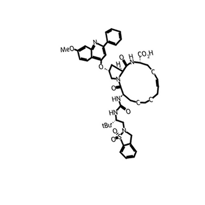 COc1ccc2c(O[C@@H]3C[C@H]4C(=O)N[C@H](C(=O)O)CC/C=C\CCCCC[C@H](NC(=O)N[C@H](CN5Cc6ccccc6S5(=O)=O)C(C)(C)C)C(=O)N4C3)cc(-c3ccccc3)nc2c1